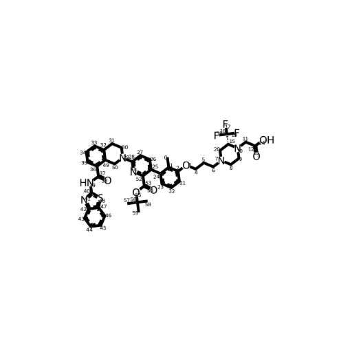 Cc1c(OCCCN2CCN(CC(=O)O)[C@@H](C(F)(F)F)C2)cccc1-c1ccc(N2CCc3cccc(C(=O)Nc4nc5ccccc5s4)c3C2)nc1C(=O)OC(C)(C)C